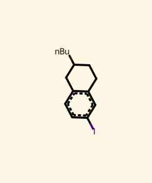 CCCCC1CCc2cc(I)ccc2C1